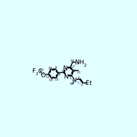 CC/C=C/N(C)c1nc(-c2ccc(OC(F)(F)F)cc2)nc(CN)c1C